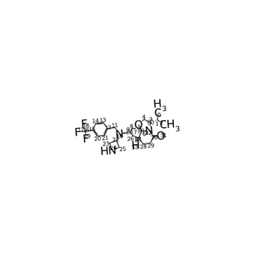 CC(C)[C@H]1CO[C@]23CC[C@H](N(Cc4ccc(C(F)(F)F)cc4)C4CNC4)C[C@H]2CCC(=O)N13